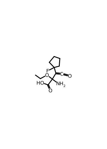 CCOC(N)(C(=O)O)C(=C=O)C1(F)CCCC1